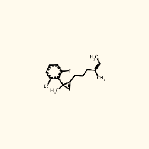 C/C=C(/C)CCCC1=CC1(C)c1c(F)cccc1CC